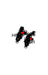 CC(=O)OCC(=O)[C@@]12OC3(CCCC3)O[C@@H]1C[C@H]1[C@@H]3CCC4=CC(=O)C=C[C@]4(C)[C@@]3(F)[C@@H](O)C[C@@]12C.CCC(=O)OCC(=O)[C@@]1(OC(=O)CC)[C@@H](C)C[C@H]2[C@@H]3CCC4=CC(=O)C=C[C@]4(C)[C@@]3(F)[C@@H](O)C[C@@]21C